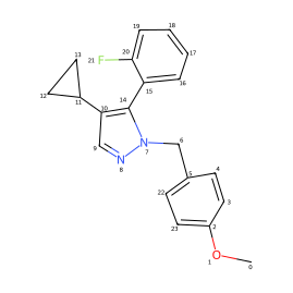 COc1ccc(Cn2ncc(C3CC3)c2-c2ccccc2F)cc1